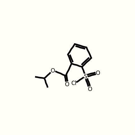 CC(C)OC(=O)c1ccccc1S(=O)(=O)Cl